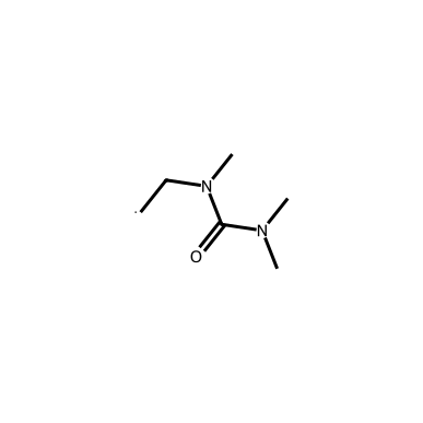 [CH2]CN(C)C(=O)N(C)C